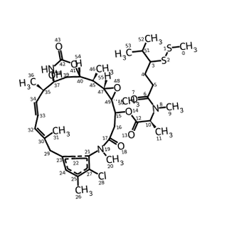 CSSC(CCC(=O)N(C)[C@@H](C)C(=O)OC1CC(=O)N(C)c2cc(cc(C)c2Cl)C/C(C)=C/C=C/[C@@H](C)[C@@]2(O)C[C@H](OC(=O)N2)[C@@H](C)[C@@H]2O[C@@]12C)C(C)C